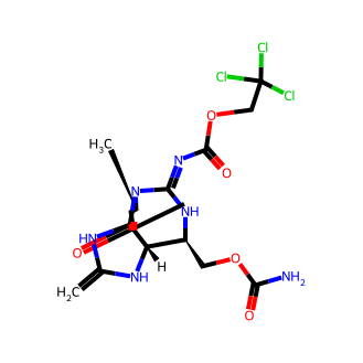 C=C1N[C@H]2[C@H](COC(N)=O)N/C(=N\C(=O)OCC(Cl)(Cl)Cl)N3[C@@H](C)CC(=O)C23N1